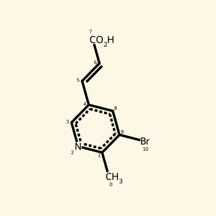 Cc1ncc(C=CC(=O)O)cc1Br